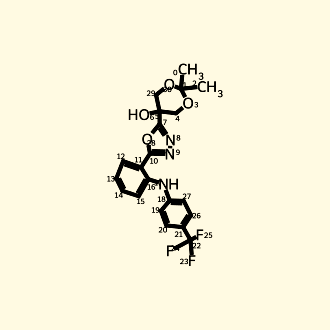 CC1(C)OCC(O)(c2nnc(-c3ccccc3Nc3ccc(C(F)(F)F)cc3)o2)CO1